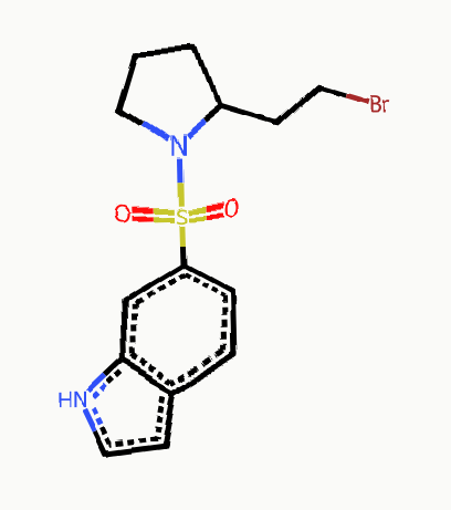 O=S(=O)(c1ccc2cc[nH]c2c1)N1CCCC1CCBr